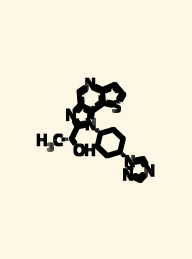 C[C@@H](O)c1nc2cnc3ccsc3c2n1[C@H]1CC[C@@H](n2cncn2)CC1